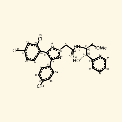 COC[C@H](NC(=O)Cn1nc(-c2ccc(Cl)cc2)c(-c2ccc(Cl)cc2Cl)n1)[C@@H](O)c1ccccc1